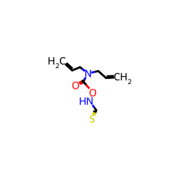 C=CCN(CC=C)C(=O)ONC=S